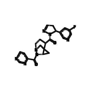 O=C(C1CCN2CC13CC3N2C(=O)c1ccncn1)N1N=CCC1c1cncc(F)c1